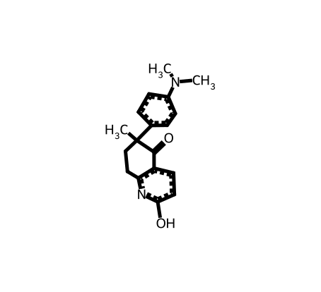 CN(C)c1ccc(C2(C)CCc3nc(O)ccc3C2=O)cc1